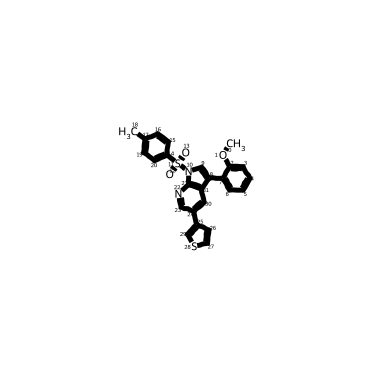 COc1ccccc1-c1cn(S(=O)(=O)c2ccc(C)cc2)c2ncc(-c3ccsc3)cc12